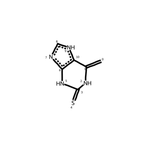 C=C1NC(=S)Nc2nc[nH]c21